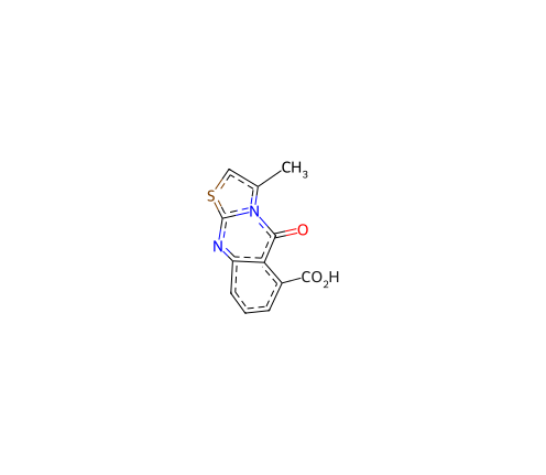 Cc1csc2nc3cccc(C(=O)O)c3c(=O)n12